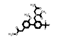 COC(=O)Cc1ccc(OC)c(-c2ccc(C(F)(F)F)cc2CN(CC(N)=O)C(C)=O)c1